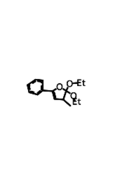 CCOC1(OCC)OC(c2ccccc2)=CC1C